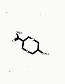 C[N]C1CCCC(C(=O)OC)CCC1